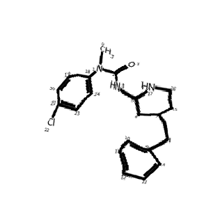 CN(C(=O)NC1CC(Cc2ccccc2)CCN1)c1ccc(Cl)cc1